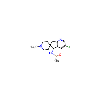 CC(C)(C)[S@@+]([O-])NC1c2cc(F)cnc2CC12CCN(C(=O)O)CC2